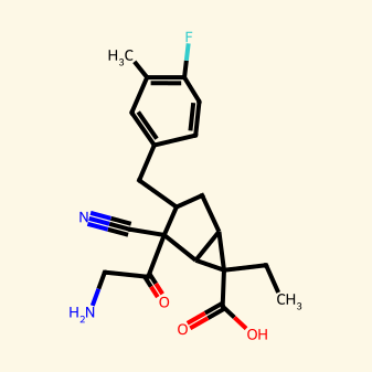 CCC1(C(=O)O)C2CC(Cc3ccc(F)c(C)c3)C(C#N)(C(=O)CN)C21